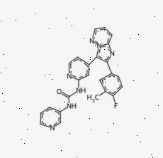 Cc1cc(-c2nc3cccnn3c2-c2ccnc(NC(=O)Nc3cccnc3)c2)ccc1F